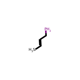 [SiH3]C=CCP